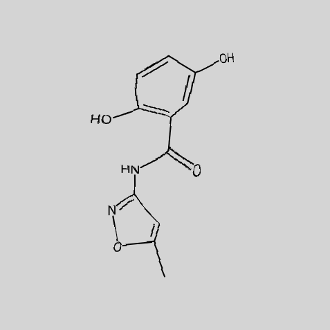 Cc1cc(NC(=O)c2cc(O)ccc2O)no1